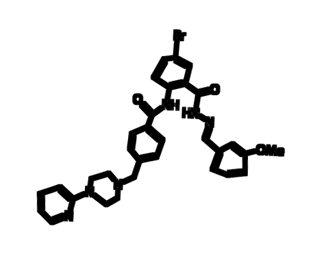 COc1cccc(C=NNC(=O)c2cc(Br)ccc2NC(=O)c2ccc(CN3CCN(c4ccccn4)CC3)cc2)c1